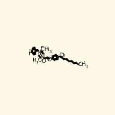 CCCCCCCCC(=O)c1ccc(OCC(=O)N2C[C@@H](C)N(Cc3ccc(F)cc3)C[C@@H]2C)cc1